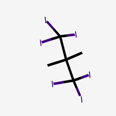 CC(C)(C(I)(I)I)C(I)(I)I